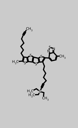 CC#CCCCCCc1c(C)sc2c1sc1c3sc(-c4ccc(C)c5nsnc45)c(CCCCCC#C[Si](CC)(CC)CC)c3sc21